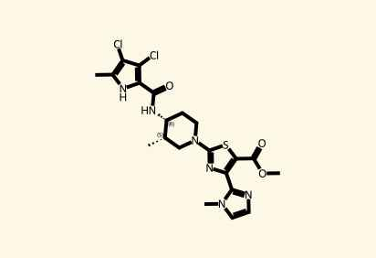 COC(=O)c1sc(N2CC[C@@H](NC(=O)c3[nH]c(C)c(Cl)c3Cl)[C@@H](C)C2)nc1-c1nccn1C